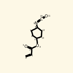 C=CC(=O)OC1CCC(N=C=O)CC1